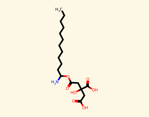 CCCCCCCCCCCC(N)OC(=O)CC(O)(CC(=O)O)C(=O)O